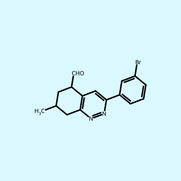 CC1Cc2nnc(-c3cccc(Br)c3)cc2C(C=O)C1